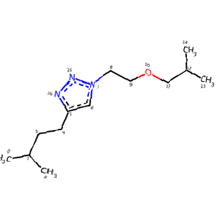 CC(C)CCc1cn(CCOCC(C)C)nn1